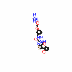 COc1ccccc1-c1csc2nc(C(=O)NCc3cccc(OCCOc4nc[nH]n4)c3)[nH]c(=O)c12